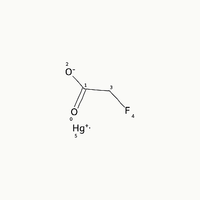 O=C([O-])CF.[Hg+]